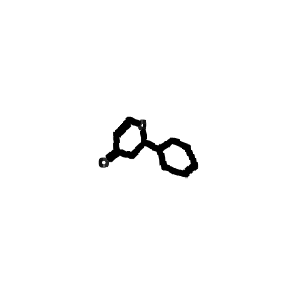 O=C1C=COC(C2CCCCC2)C1